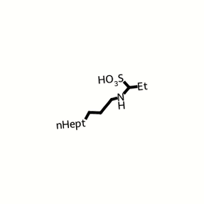 CCCCCCCCCCNC(CC)S(=O)(=O)O